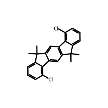 CC1(C)c2cc3c(cc2-c2c(Cl)cccc21)C(C)(C)c1cccc(Cl)c1-3